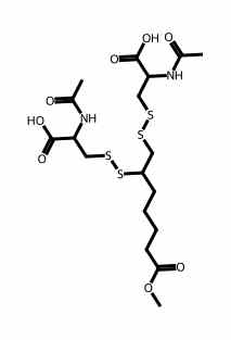 COC(=O)CCCCC(CSSCC(NC(C)=O)C(=O)O)SSCC(NC(C)=O)C(=O)O